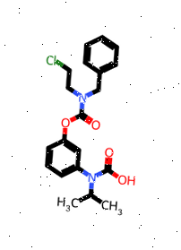 CC(C)N(C(=O)O)c1cccc(OC(=O)N(CCCl)Cc2ccccc2)c1